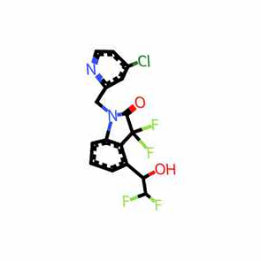 O=C1N(Cc2cc(Cl)ccn2)c2cccc(C(O)C(F)F)c2C1(F)F